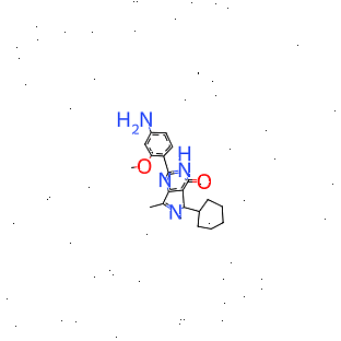 COc1cc(N)ccc1-c1nc2c(c(=O)[nH]1)C(C1CCCCC1)N=C2C